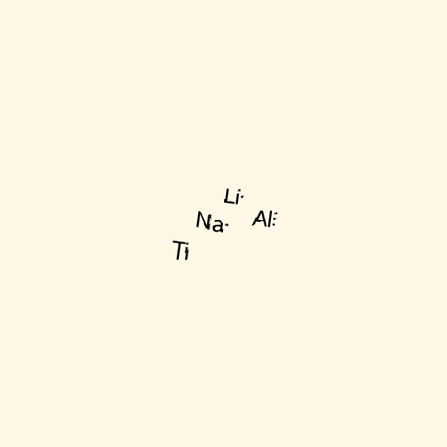 [Al].[Li].[Na].[Ti]